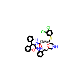 COC(=O)NC(C(=O)Nc1ccccc1CC[C@@H]1CNC[C@@H](CSc2ccc(Cl)c(Cl)c2)O1)C(c1ccccc1)c1ccccc1